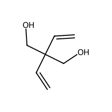 C=CC(C=C)(CO)CO